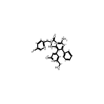 Nc1nc(-c2ccccc2)c(-c2cc(Cl)nc(CO)c2)c2[nH]n(Cc3ccc(F)cn3)c(=O)[n+]12